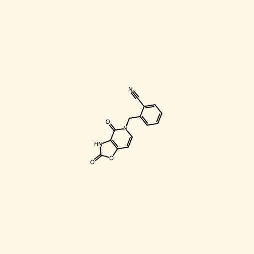 N#Cc1ccccc1Cn1ccc2oc(=O)[nH]c2c1=O